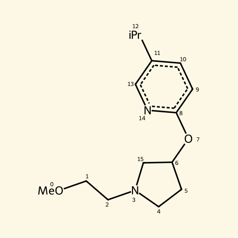 COCCN1CCC(Oc2ccc(C(C)C)cn2)C1